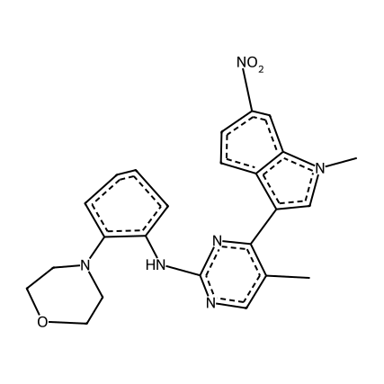 Cc1cnc(Nc2ccccc2N2CCOCC2)nc1-c1cn(C)c2cc([N+](=O)[O-])ccc12